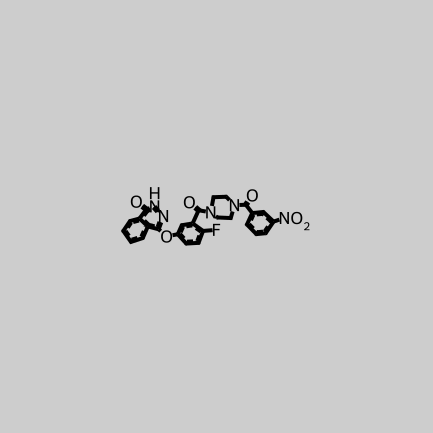 O=C(c1cccc([N+](=O)[O-])c1)N1CCN(C(=O)c2cc(Oc3n[nH]c(=O)c4ccccc34)ccc2F)CC1